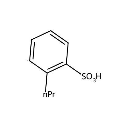 CCCc1[c]cccc1S(=O)(=O)O